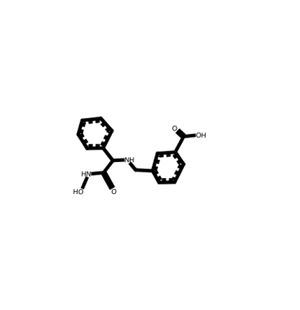 O=C(O)c1cccc(CNC(C(=O)NO)c2ccccc2)c1